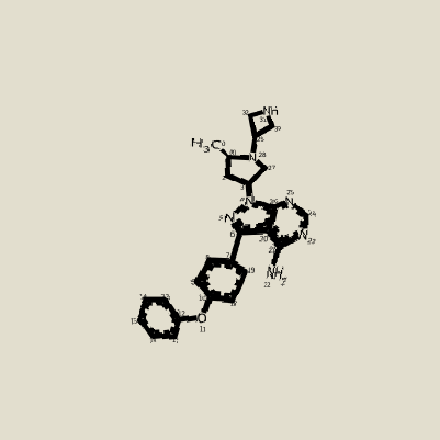 C[C@@H]1CC(n2nc(-c3ccc(Oc4ccccc4)cc3)c3c(N)ncnc32)CN1C1CNC1